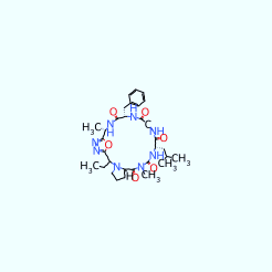 CCC1c2nnc(o2)[C@H](C)NC(=O)[C@H](Cc2ccccc2)NC(=O)CNC(=O)[C@H](CC(C)C)NC(=O)N(C)C(=O)[C@@H]2CCCN12